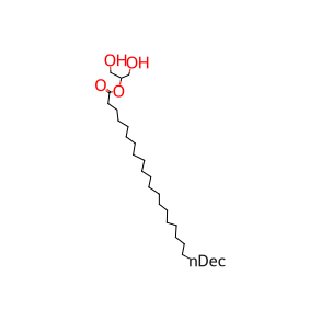 CCCCCCCCCCCCCCCCCCCCCCCCCCCCCC(=O)OC(CO)CO